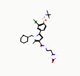 Cc1c(C(=O)NCCc2noc(=O)[nH]2)cc(-c2ccc(S(=O)(=O)NC(C)(C)C)c(C(F)(F)F)c2)n1CC1CCCCC1